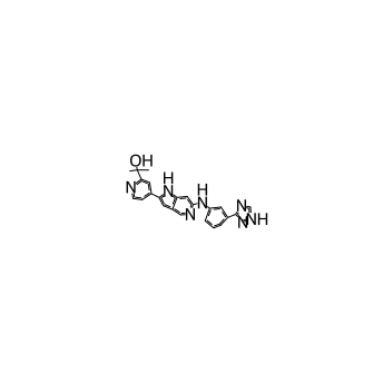 CC(C)(O)c1cc(-c2cc3cnc(Nc4cccc(-c5nc[nH]n5)c4)cc3[nH]2)ccn1